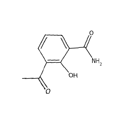 CC(=O)c1cccc(C(N)=O)c1O